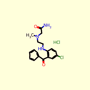 CN(CCNc1ccc(Cl)cc1C(=O)c1ccccc1)CC(N)=O.Cl